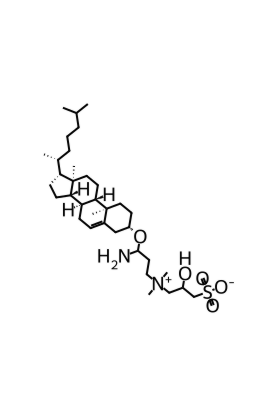 CC(C)CCC[C@@H](C)[C@H]1CC[C@H]2[C@@H]3CC=C4C[C@@H](OC(N)CC[N+](C)(C)CC(O)CS(=O)(=O)[O-])CC[C@]4(C)[C@H]3CC[C@]12C